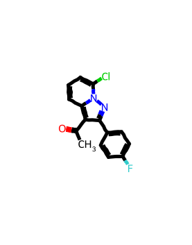 CC(=O)c1c(-c2ccc(F)cc2)nn2c(Cl)cccc12